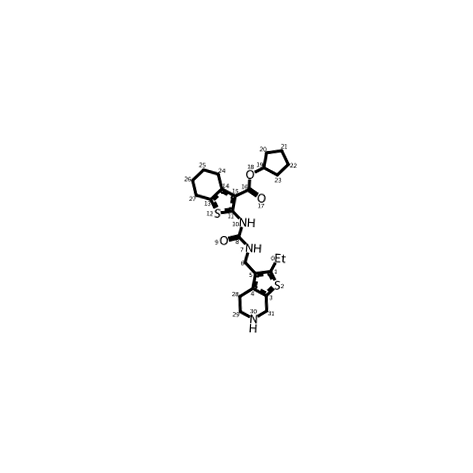 CCc1sc2c(c1CNC(=O)Nc1sc3c(c1C(=O)OC1CCCC1)CCCC3)CCNC2